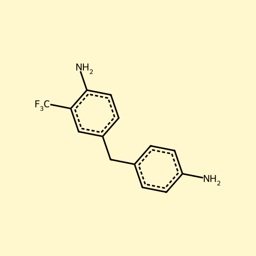 Nc1ccc(Cc2ccc(N)c(C(F)(F)F)c2)cc1